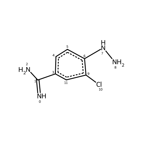 N=C(N)c1ccc(NN)c(Cl)c1